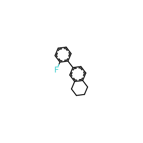 Fc1ccccc1-c1ccc2c(c1)CCCC2